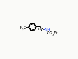 CCO[14C](=O)N[14CH2]Cc1ccc(C(F)(F)F)cc1